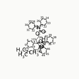 CC(C)(C)c1cccc2c1CCC(=O)C2(CCOC(=O)N(c1ccccc1)c1ccccc1)O[SiH](c1ccccc1)c1ccccc1